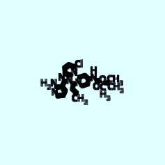 C=CCC(N1CCC(NC(=O)OC(C)(C)C)CC1)n1c(-c2cccnc2N)nc2ccc(Cl)nc21